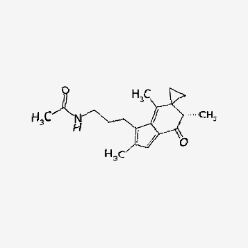 CC(=O)NCCCC1=C(C)C=C2C(=O)[C@@H](C)C3(CC3)C(C)=C21